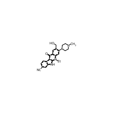 CCn1c2cc(N3CCN(C)CC3)c(CO)cc2c(=O)c2c3ccc(C#N)cc3[nH]c21